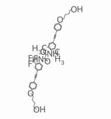 Cc1cc(C#Cc2ccc(OCCCCO)cc2)cc(C)c1NC(=O)C(=O)Nc1ccc(C#Cc2ccc(OCCCCO)cc2)cc1C(F)(F)F